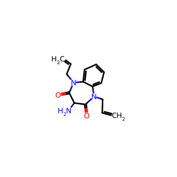 C=CCN1C(=O)C(N)C(=O)N(CC=C)c2ccccc21